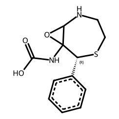 O=C(O)NC12OC1NCCS[C@@H]2c1ccccc1